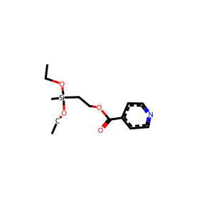 CCO[Si](C)(CCOC(=O)c1ccncc1)OCC